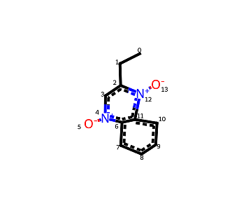 CCc1c[n+]([O-])c2ccccc2[n+]1[O-]